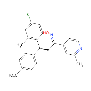 Cc1cc(/C(C[C@@H](c2ccc(C(=O)O)cc2)c2ccc(Cl)cc2C)=N/O)ccn1